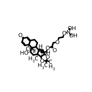 CC1(C)O[C@@H]2C[C@H]3C4CCC5=CC(=O)C=C[C@]5(C)[C@@]4(F)[C@@H](O)C[C@]3(C)[C@]2(C(=O)COC(=O)COCCON(O)O)O1